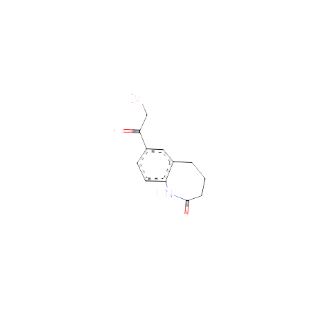 O=C1CCCc2cc(C(=O)CBr)ccc2N1